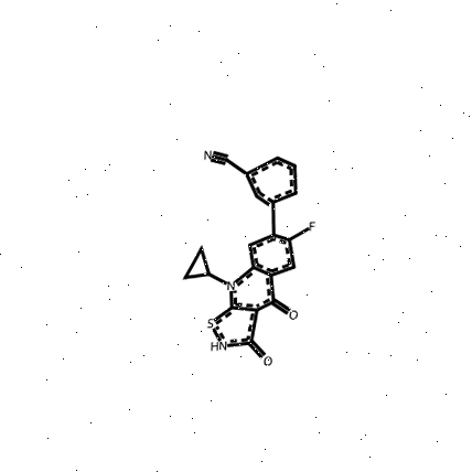 N#Cc1cccc(-c2cc3c(cc2F)c(=O)c2c(=O)[nH]sc2n3C2CC2)c1